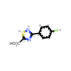 O=C(O)c1nc(-c2ccc(F)cc2)ns1